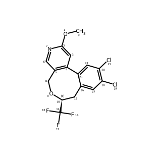 COc1cc2c(cn1)CO[C@H](C(F)(F)F)Cc1cc(Cl)c(Cl)cc1-2